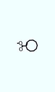 COC(=O)C1=CCCCCCCCC1